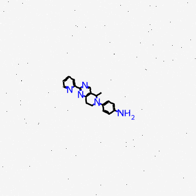 CC1c2cnc(-c3ccccn3)nc2CCN1c1ccc(N)cc1